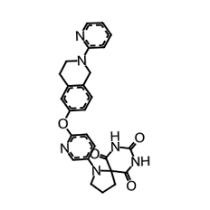 O=C1NC(=O)C2(CCCN2c2ccc(Oc3ccc4c(c3)CCN(c3ccccn3)C4)nc2)C(=O)N1